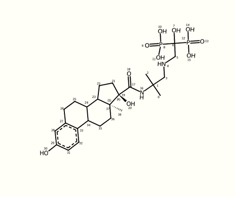 CC(C)(CNCC(O)(P(=O)(O)O)P(=O)(O)O)NC(=O)[C@@]1(O)CCC2C3CCc4cc(O)ccc4C3CC[C@@]21C